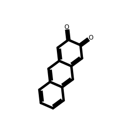 O=C1C=c2cc3ccccc3cc2=CC1=O